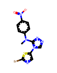 CN(c1ccc([N+](=O)[O-])cc1)c1nncn1-c1cnc(Br)s1